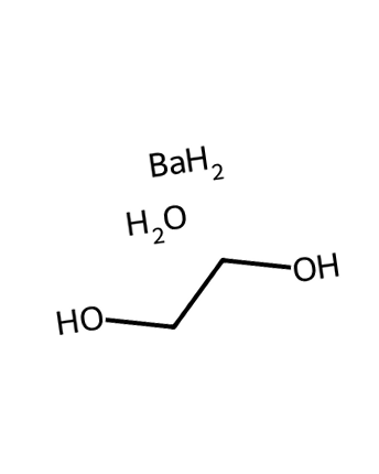 O.OCCO.[BaH2]